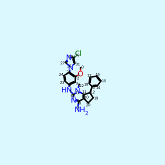 COc1cc(NC2N=C(N)C3=C(C(c4ccccc4)CC3)N2C)ccc1-n1cnc(Cl)c1